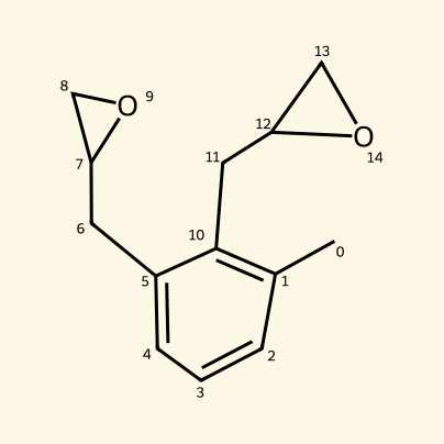 Cc1cccc(CC2CO2)c1CC1CO1